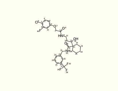 O=C(COc1ccc(Cl)c(F)c1)NCCC(O)C1(C(=O)NCc2cccc(C(F)(F)F)c2)CCCCC1